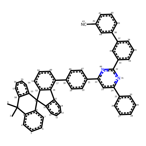 CC1(C)c2ccccc2C2(c3ccccc3-c3c(-c4ccc(-c5cc(-c6ccccc6)nc(-c6cccc(-c7cccc(C#N)c7)c6)n5)cc4)cccc32)c2ccccc21